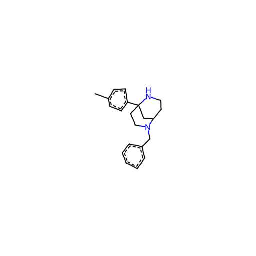 Cc1ccc(C23CCN(Cc4ccccc4)C(CCN2)C3)cc1